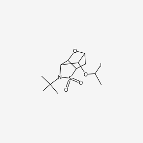 CC(I)OC1C2CC3C(O2)C1N(C(C)(C)C)S3(=O)=O